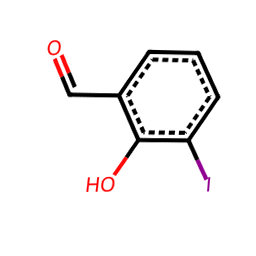 O=Cc1cccc(I)c1O